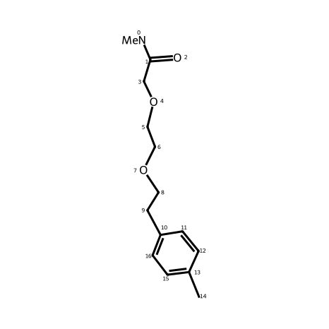 CNC(=O)COCCOCCc1ccc(C)cc1